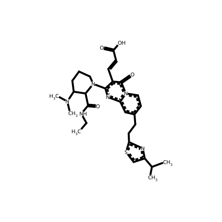 CCNC(=O)C1C(N(C)C)CCCN1c1nc2cc(CCc3nc(C(C)C)cs3)ccn2c(=O)c1C=CC(=O)O